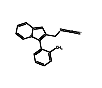 Cc1ccccc1-c1c(CN=[N+]=[N-])cc2ccccn12